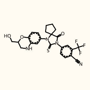 N#Cc1ccc(N2C(=O)C3(CCCC3)N(c3ccc4c(c3)NCC(CO)O4)C2=S)cc1C(F)(F)F